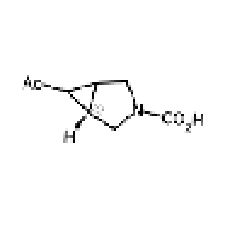 CC(=O)C1C2CN(C(=O)O)C[C@@H]21